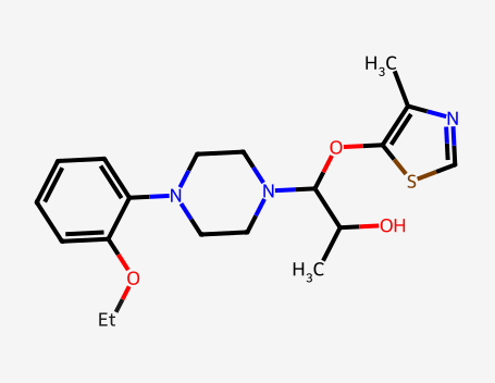 CCOc1ccccc1N1CCN(C(Oc2scnc2C)C(C)O)CC1